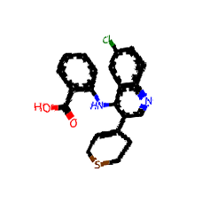 O=C(O)c1ccccc1Nc1c(C2=CCSCC2)cnc2ccc(Cl)cc12